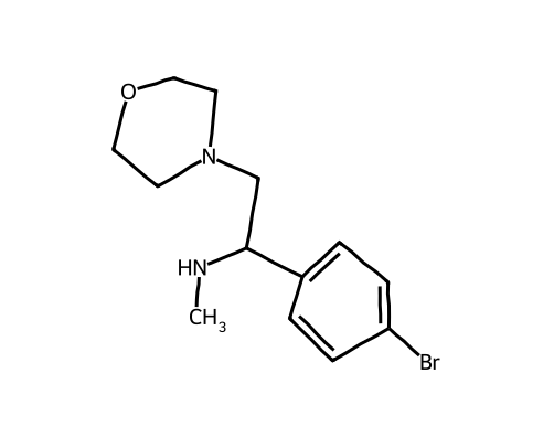 CNC(CN1CCOCC1)c1ccc(Br)cc1